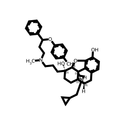 Cc1ccc(OC(CCN(C)CCC[C@]2(O)CC[C@@]3(O)[C@H]4Cc5ccc(O)c6c5[C@@]3(CCN4CC3CC3)C2O6)c2ccccc2)cc1